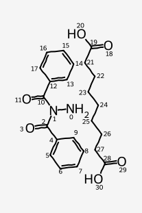 NN(C(=O)c1ccccc1)C(=O)c1ccccc1.O=C(O)CCCCCCCC(=O)O